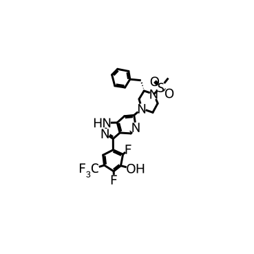 CS(=O)(=O)N1CCN(c2cc3[nH]nc(-c4cc(C(F)(F)F)c(F)c(O)c4F)c3cn2)C[C@@H]1Cc1ccccc1